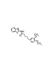 COc1ccc(CCCCC(=O)Nc2nc3ccccc3s2)cc1OC